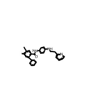 Cc1cc(C(=O)Nc2ccc(NCCc3ccccn3)cc2)c(-c2ccccc2)cc1C